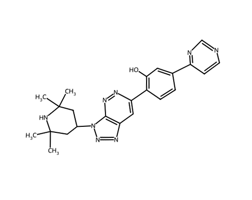 CC1(C)CC(n2nnc3cc(-c4ccc(-c5ccncn5)cc4O)nnc32)CC(C)(C)N1